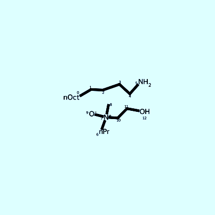 CCCCCCCCCCCCN.CCC[N+](C)([O-])CCO